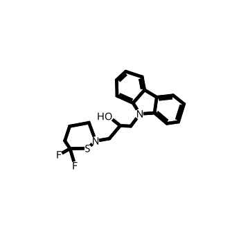 OC(CN1CCCC(F)(F)S1)Cn1c2ccccc2c2ccccc21